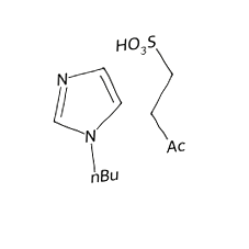 CC(=O)CCS(=O)(=O)O.CCCCn1ccnc1